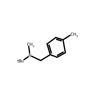 Cc1ccc(CN(C)C(C)(C)C)cc1